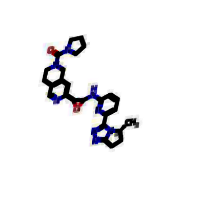 C[C@H]1CCc2nnc(-c3cccc(NC4OC4c4cc5c(cn4)CCN(C(=O)N4CCCC4)C5)n3)n21